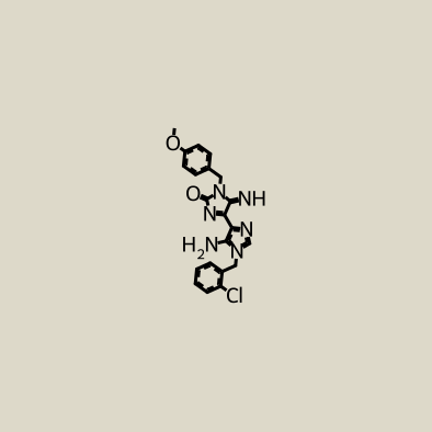 COc1ccc(CN2C(=N)C(c3ncn(Cc4ccccc4Cl)c3N)=NC2=O)cc1